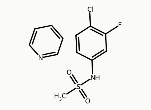 CS(=O)(=O)Nc1ccc(Cl)c(F)c1.c1ccncc1